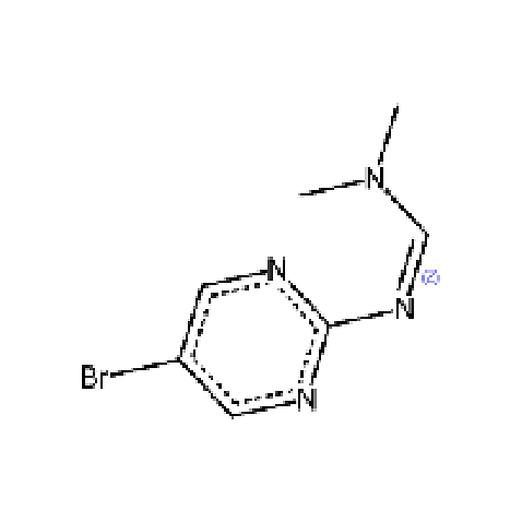 CN(C)/C=N\c1ncc(Br)cn1